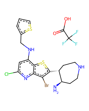 N[C@@H]1CCNCC[C@H]1c1sc2c(NCc3cccs3)cc(Cl)nc2c1Br.O=C(O)C(F)(F)F